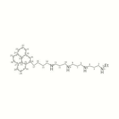 CCNCCCNCCCNCCCNCCCCc1cc2cccc3ccc4cccc1c4c32